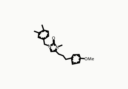 COc1ccc(CCCc2cn(Cc3ccc(C)c(C)c3)c(=O)n2C)cc1